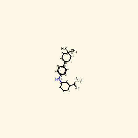 CCC(C(=O)O)C1CCCC(Nc2ccc(C3CCC(C)(C)CC3)cc2)C1